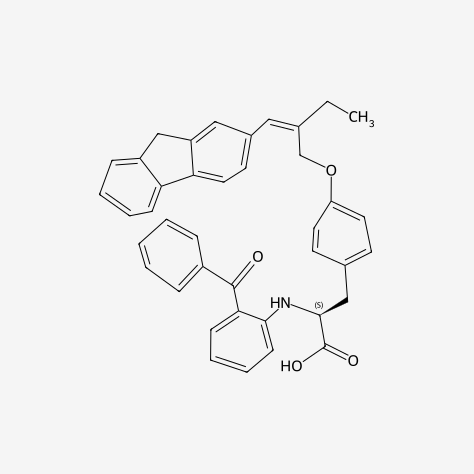 CCC(=Cc1ccc2c(c1)Cc1ccccc1-2)COc1ccc(C[C@H](Nc2ccccc2C(=O)c2ccccc2)C(=O)O)cc1